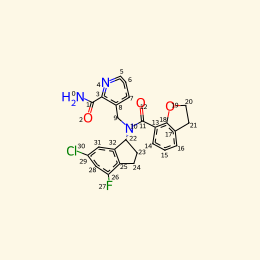 NC(=O)c1ncccc1CN(C(=O)c1cccc2c1OCC2)[C@@H]1CCc2c(F)cc(Cl)cc21